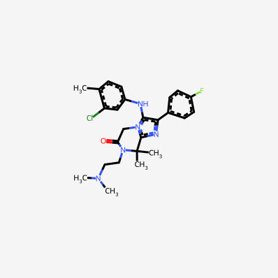 Cc1ccc(Nc2c(-c3ccc(F)cc3)nc3n2CC(=O)N(CCN(C)C)C3(C)C)cc1Cl